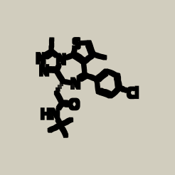 Cc1csc2c1C(c1ccc(Cl)cc1)=N[C@H](CC(=O)NC(C)(C)C)c1nnc(C)n1-2